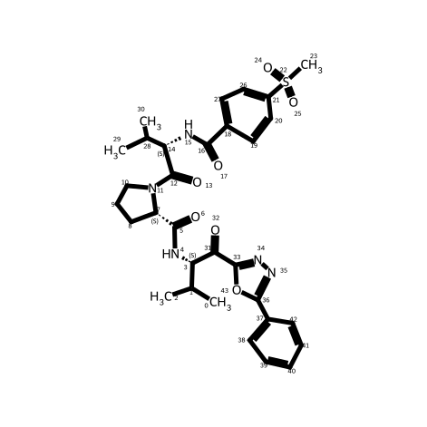 CC(C)[C@H](NC(=O)[C@@H]1CCCN1C(=O)[C@@H](NC(=O)c1ccc(S(C)(=O)=O)cc1)C(C)C)C(=O)c1nnc(-c2ccccc2)o1